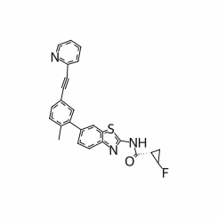 Cc1ccc(C#Cc2ccccn2)cc1-c1ccc2nc(NC(=O)[C@@H]3CC3F)sc2c1